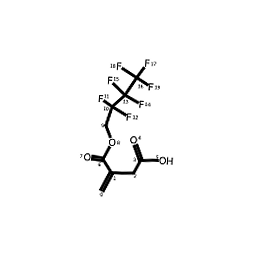 C=C(CC(=O)O)C(=O)OCC(F)(F)C(F)(F)C(F)(F)F